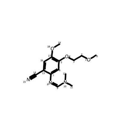 COCCOc1cc(/N=C\N(C)C)c(C#N)cc1OC